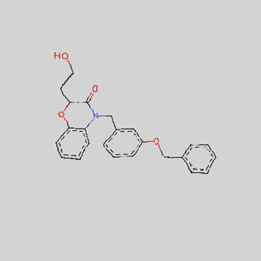 O=C1C(CCO)Oc2ccccc2N1Cc1cccc(OCc2ccccc2)c1